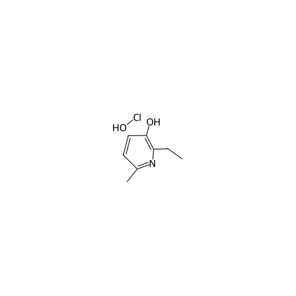 CCc1nc(C)ccc1O.OCl